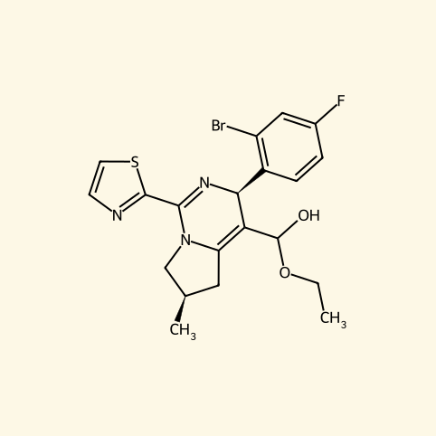 CCOC(O)C1=C2C[C@@H](C)CN2C(c2nccs2)=N[C@H]1c1ccc(F)cc1Br